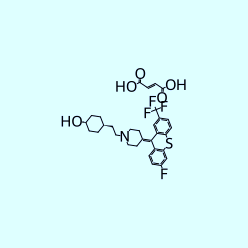 O=C(O)C=CC(=O)O.O[C@H]1CC[C@@H](CCN2CCC(=C3c4ccc(F)cc4Sc4ccc(C(F)(F)F)cc43)CC2)CC1